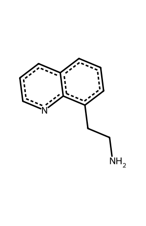 NCCc1cccc2cccnc12